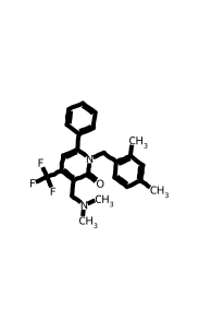 Cc1ccc(Cn2c(-c3ccccc3)cc(C(F)(F)F)c(CN(C)C)c2=O)c(C)c1